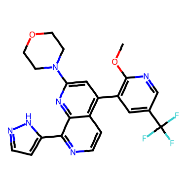 COc1ncc(C(F)(F)F)cc1-c1cc(N2CCOCC2)nc2c(-c3ccn[nH]3)nccc12